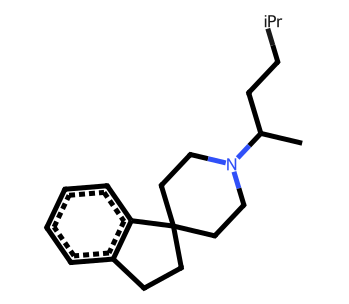 CC(C)CCC(C)N1CCC2(CCc3ccccc32)CC1